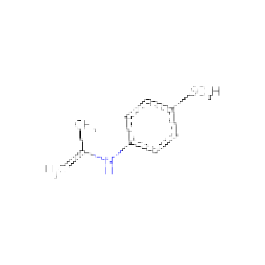 C=C(C)Nc1ccc(S(=O)(=O)O)cc1